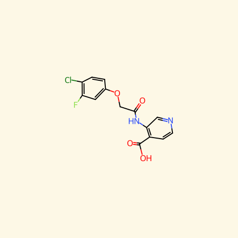 O=C(COc1ccc(Cl)c(F)c1)Nc1cnccc1C(=O)O